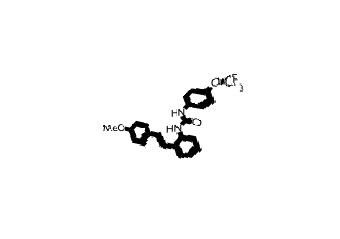 COc1ccc(/C=C/c2ccccc2NC(=O)Nc2ccc(OC(F)(F)F)cc2)cc1